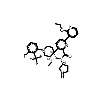 CCOc1ncccc1-c1ccc2c(n1)C(=O)N([C@H]1CCNC1)C[C@]21CCN(c2cccc(F)c2C(F)(F)F)C[C@H]1CC